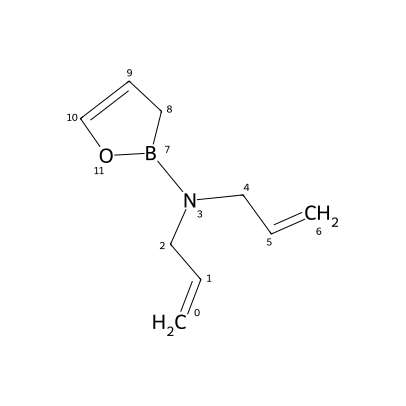 C=CCN(CC=C)B1CC=CO1